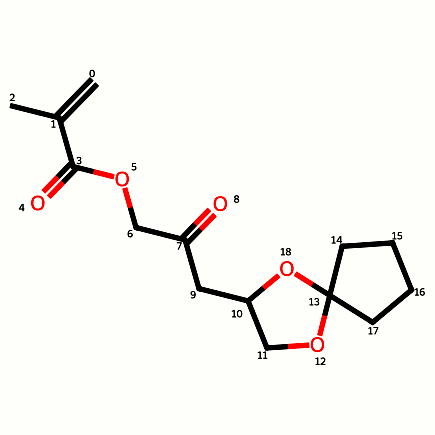 C=C(C)C(=O)OCC(=O)CC1COC2(CCCC2)O1